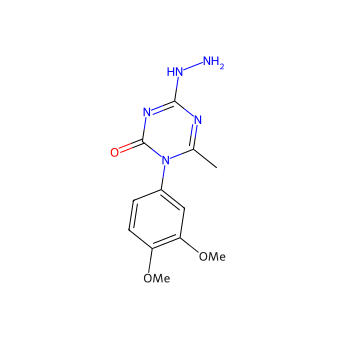 COc1ccc(-n2c(C)nc(NN)nc2=O)cc1OC